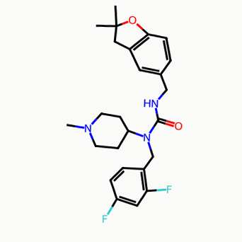 CN1CCC(N(Cc2ccc(F)cc2F)C(=O)NCc2ccc3c(c2)CC(C)(C)O3)CC1